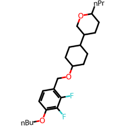 CCCCOc1ccc(COC2CCC(C3CCC(CCC)OC3)CC2)c(F)c1F